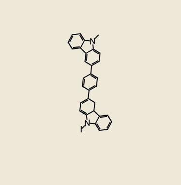 Cn1c2ccccc2c2cc(-c3ccc(C4=CC=C5C(C4)c4ccccc4N5I)cc3)ccc21